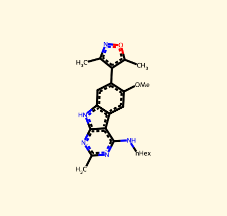 CCCCCCNc1nc(C)nc2[nH]c3cc(-c4c(C)noc4C)c(OC)cc3c12